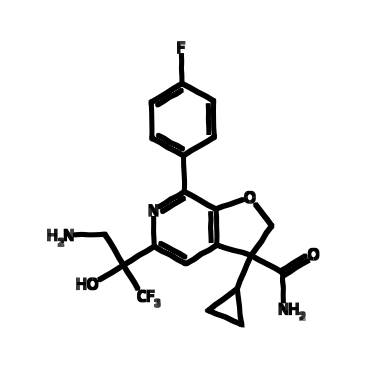 NCC(O)(c1cc2c(c(-c3ccc(F)cc3)n1)OCC2(C(N)=O)C1CC1)C(F)(F)F